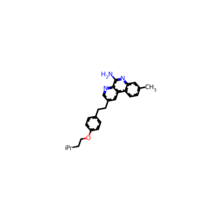 Cc1ccc2c(c1)nc(N)c1ncc(CCc3ccc(OCCC(C)C)cc3)cc12